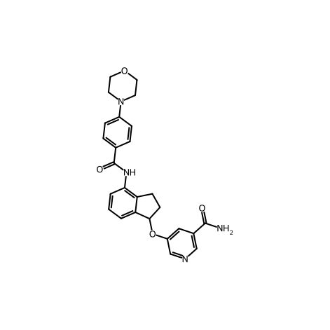 NC(=O)c1cncc(OC2CCc3c(NC(=O)c4ccc(N5CCOCC5)cc4)cccc32)c1